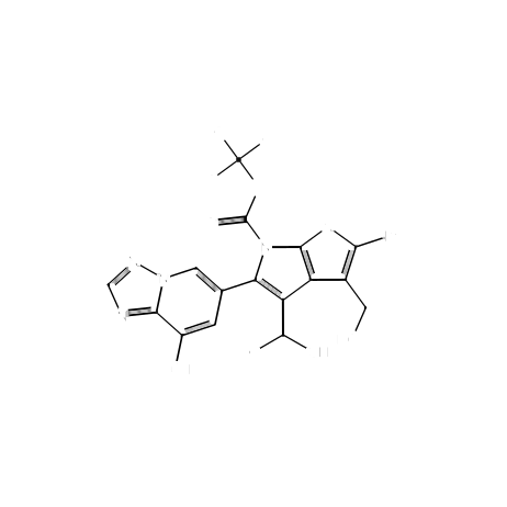 CCc1c(Br)sc2c1c(C(C)C)c(-c1cc(C)c3ncnn3c1)n2C(=O)OC(C)(C)C